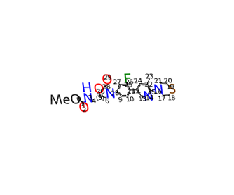 COC(=O)NC[C@H]1CN(c2ccc(-c3cnc(N4CCSCC4)c(C)c3)c(F)c2)C(=O)O1